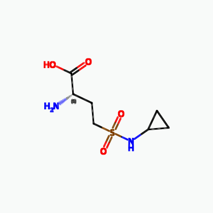 N[C@@H](CCS(=O)(=O)NC1CC1)C(=O)O